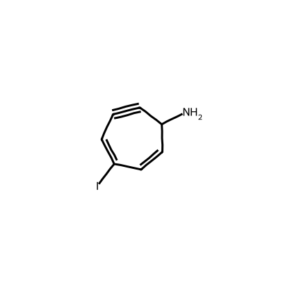 NC1C#CC=C(I)C=C1